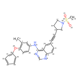 Cc1cc(Nc2ncnc3ccc(C#CC4CCN(S(C)(=O)=O)C4)cc23)ccc1Oc1ccccc1